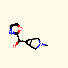 CN1CC2C(C1)C2C(=O)c1ncco1